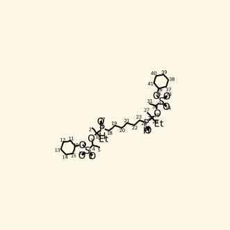 CCC(C)(OC(C)S(=O)(=O)OC1CCCCC1)[PH](=O)CCCCCC[PH](=O)C(C)(CC)OC(C)S(=O)(=O)OC1CCCCC1